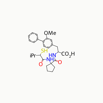 COc1cc(CC(NC(=O)C2(NC(=O)C(S)C(C)C)CCCC2)C(=O)O)ccc1-c1ccccc1